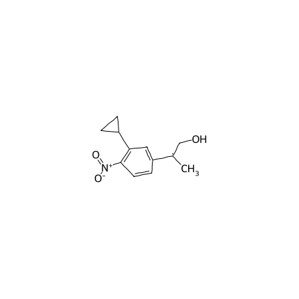 C[C](CO)c1ccc([N+](=O)[O-])c(C2CC2)c1